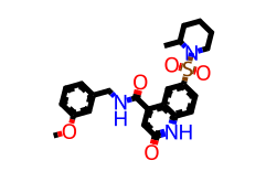 COc1cccc(CNC(=O)c2cc(=O)[nH]c3ccc(S(=O)(=O)N4CCCCC4C)cc23)c1